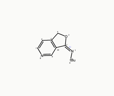 CC(C)(C)/N=C1/OCc2ccncc21